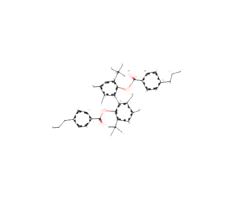 CCCc1ccc(C(=O)Oc2c(C(C)(C)C)cc(C)c(C)c2-c2c(C)c(C)cc(C(C)(C)C)c2OC(=O)c2ccc(CCC)cc2)cc1